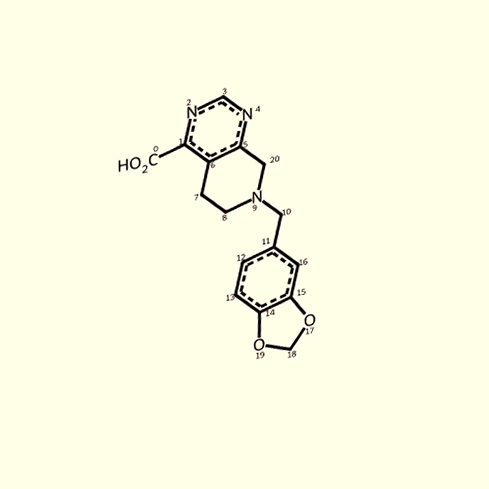 O=C(O)c1ncnc2c1CCN(Cc1ccc3c(c1)OCO3)C2